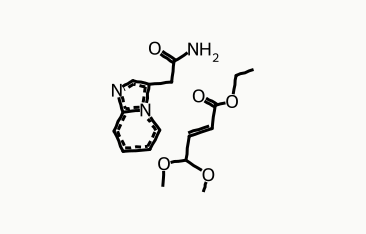 CCOC(=O)/C=C/C(OC)OC.NC(=O)Cc1cnc2ccccn12